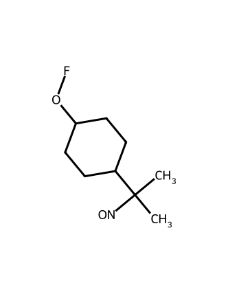 CC(C)(N=O)C1CCC(OF)CC1